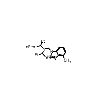 CCCCCC(CC)N(Cn1nnc2c(C)cccc21)C(CC)CCCCC